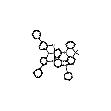 CC1(C)c2ccccc2N(c2cc3c4c(c2)Oc2cc(-c5ccccc5)ccc2B4c2ccc(-c4ccccc4)cc2O3)c2c1ccc1c2c2ccccc2n1-c1ccccc1